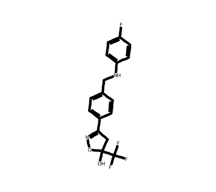 OC1(C(F)(F)F)CC(c2ccc(CNc3ccc(F)cc3)cc2)=NO1